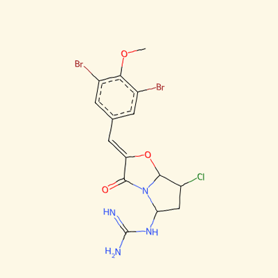 COc1c(Br)cc(/C=C2\OC3C(Cl)CC(NC(=N)N)N3C2=O)cc1Br